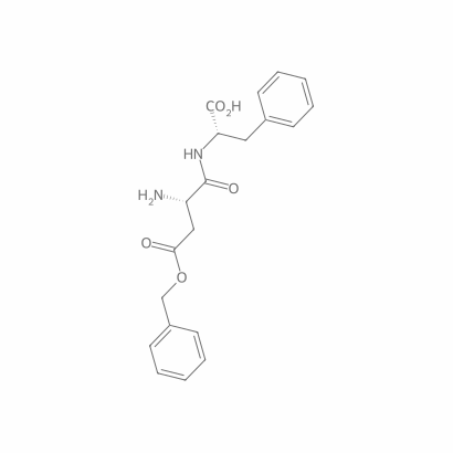 N[C@@H](CC(=O)OCc1ccccc1)C(=O)N[C@@H](Cc1ccccc1)C(=O)O